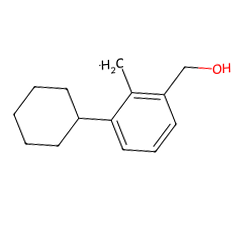 [CH2]c1c(CO)cccc1C1CCCCC1